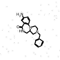 Nc1ccc2c(c1)C(=O)NCC1CN(Cc3ccccc3)CCN21